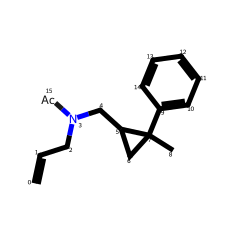 C=CCN(CC1CC1(C)c1ccccc1)C(C)=O